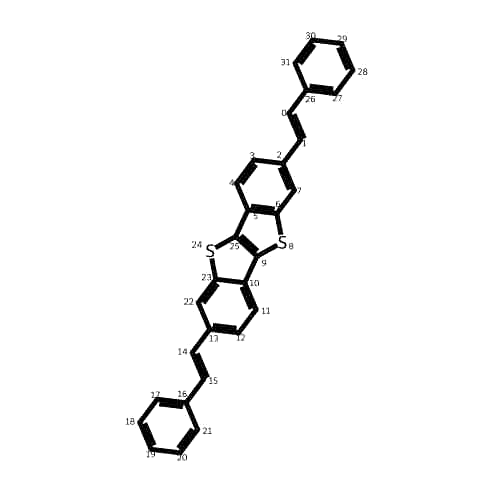 C(=C\c1ccc2c(c1)sc1c3ccc(/C=C/c4ccccc4)cc3sc21)/c1ccccc1